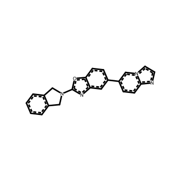 c1ccc2c(c1)CN(c1nc3cc(-c4ccc5nccn5c4)ccc3o1)C2